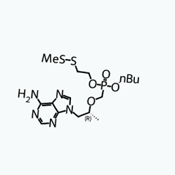 CCCCOP(=O)(CO[C@H](C)Cn1cnc2c(N)ncnc21)OCCSSC